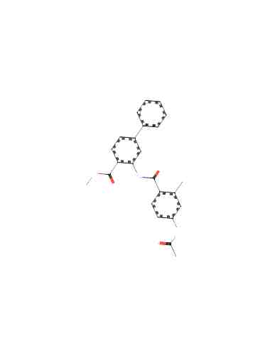 COC(=O)c1ccc(-c2ccccc2)cc1NC(=O)c1ccc(OC(C)=O)cc1C